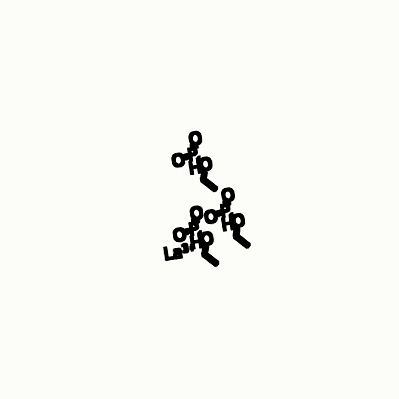 CCO[PH](=O)[O-].CCO[PH](=O)[O-].CCO[PH](=O)[O-].[La+3]